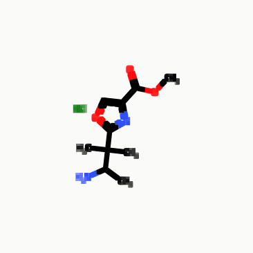 COC(=O)c1coc(C(C)(C)C(C)N)n1.Cl